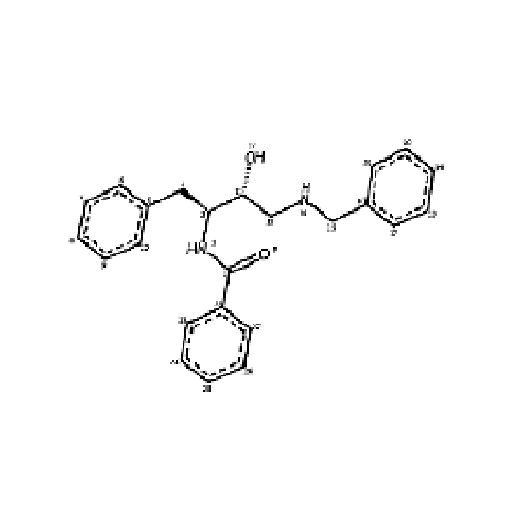 O=C(N[C@@H](Cc1ccccc1)[C@H](O)CNCc1ccccc1)c1ccccc1